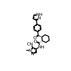 Cn1ncc(NC(=O)[C@H]2CCCC[C@@H]2C(=O)c2ccc(-c3cc[nH]n3)cc2)c1C#N